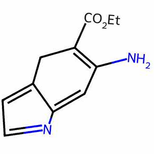 CCOC(=O)C1=C(N)C=C2N=CC=C2C1